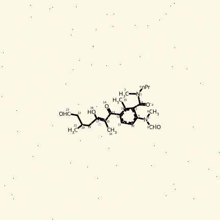 CCCN(C)C(=O)c1c(N(C)C=O)ccc(C(=O)/C(C)=C(\O)CC(C)CC=O)c1C